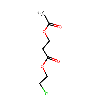 [CH2]C(=O)OCCC(=O)OCCCl